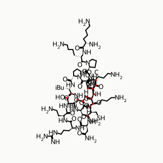 CC[C@H](C)[C@H](NC(=O)[C@@H](NC(=O)[C@@H]1CCCN1C(=O)[C@@H](NC(=O)[C@@H]1CCCN1C(=O)[C@H](CCCCN)NC(=O)[C@@H](N)CCCCN)C(C)C)[C@@H](C)CC)C(=O)N[C@@H](Cc1ccc(O)cc1)C(=O)N[C@@H](CS)C(=O)N[C@@H](CC(N)=O)C(=O)N[C@@H](CCCNC(=N)N)C(=O)N[C@@H](CCN)C(=O)N[C@H](C(=O)N[C@H](CCN)C(=O)N[C@@H](CCCCN)C(=O)N[C@@H](CS)C(=O)N[C@@H](CCN)C(=O)O)[C@@H](C)O